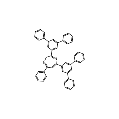 C1=C(c2cc(-c3ccccc3)cc(-c3ccccc3)c2)N=C(c2cc(-c3ccccc3)cc(-c3ccccc3)c2)CN=C1c1ccccc1